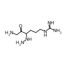 N=C(N)NCCCC(NN)C(=O)CN